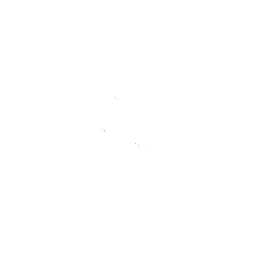 Nc1nccc(C2CC2)c1[N+](=O)[O-]